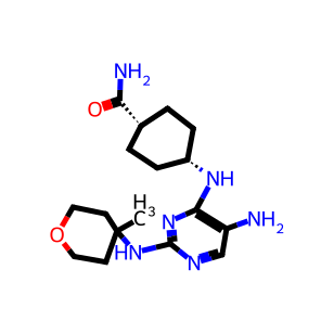 CC1(Nc2ncc(N)c(N[C@H]3CC[C@@H](C(N)=O)CC3)n2)CCOCC1